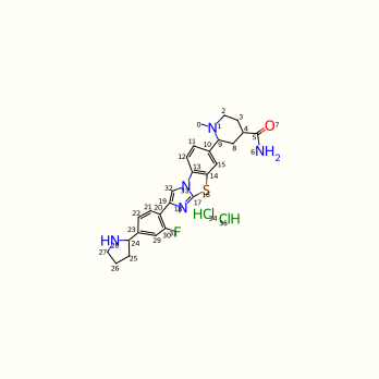 CN1CCC(C(N)=O)CC1c1ccc2c(c1)sc1nc(-c3ccc(C4CCCN4)cc3F)cn12.Cl.Cl